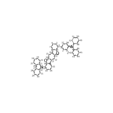 Cc1cc(-c2cccc3c2oc2cc4c(cc23)oc2c(-n3c5ccccc5c5ccccc53)cccc24)ccc1N(c1ccccc1)C1C=CC=CC1